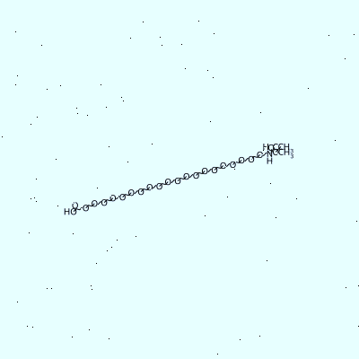 CC(C)(C)OC(=O)NCCOCCOCCOCCOCCOCCOCCOCCOCCOCCOCCOCCOCCOCCOCCOCCOCCOCCOCCOCCOCCC(=O)O